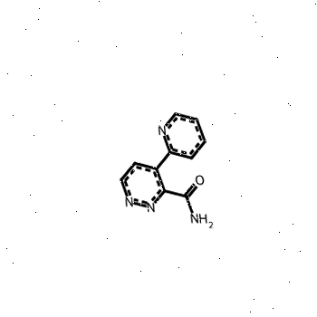 NC(=O)c1nnccc1-c1ccccn1